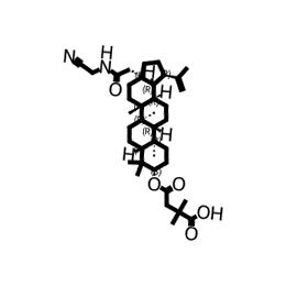 C=C(C)[C@@H]1CC[C@]2(CC(=O)NCC#N)CC[C@]3(C)[C@H](CC[C@@H]4[C@@]5(C)CC[C@H](OC(=O)CC(C)(C)C(=O)O)C(C)(C)[C@@H]5CC[C@]43C)[C@@H]12